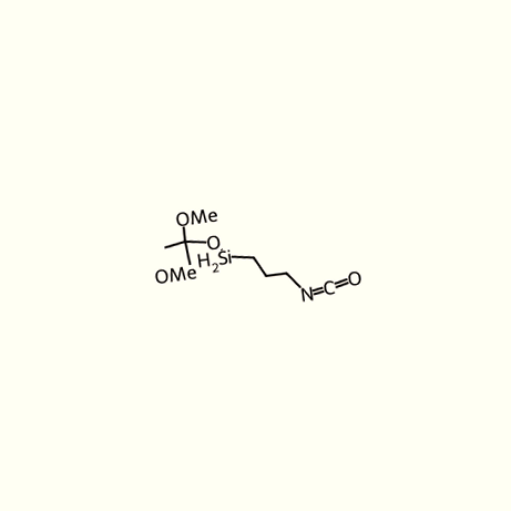 COC(C)(OC)O[SiH2]CCCN=C=O